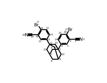 N#Cc1cc(C23CC4CC(C2)CC(c2ccc(Br)c(C#N)c2)(C4)C3)ccc1Br